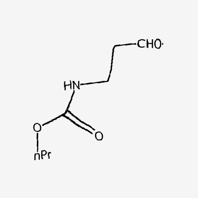 CCCOC(=O)NCC[C]=O